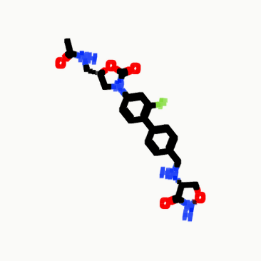 CC(=O)NC[C@H]1CN(c2ccc(-c3ccc(CN[C@@H]4CONC4=O)cc3)c(F)c2)C(=O)O1